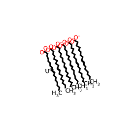 CCCCCCCCC=CCCCCCCCC(=O)[O-].CCCCCCCCC=CCCCCCCCC(=O)[O-].CCCCCCCCC=CCCCCCCCC(=O)[O-].CCCCCCCCC=CCCCCCCCC(=O)[O-].CCCCCCCCC=CCCCCCCCC(=O)[O-].CCCCCCCCC=CCCCCCCCC(=O)[O-].[U+6]